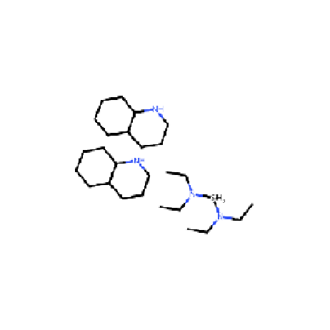 C1CCC2NCCCC2C1.C1CCC2NCCCC2C1.CCN(CC)[SiH2]N(CC)CC